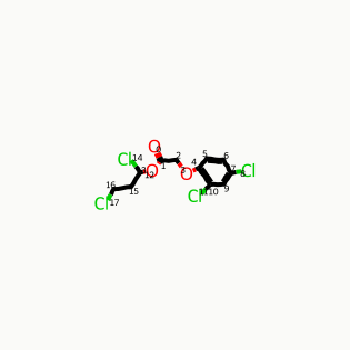 O=C(COc1ccc(Cl)cc1Cl)OC(Cl)CCCl